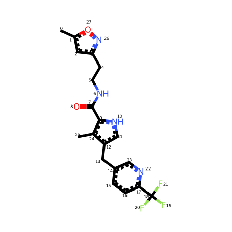 Cc1cc(CCNC(=O)c2[nH]cc(Cc3ccc(C(F)(F)F)nc3)c2C)no1